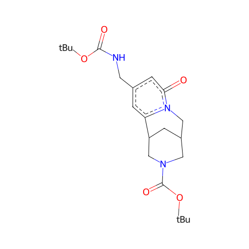 CC(C)(C)OC(=O)NCc1cc2n(c(=O)c1)CC1CC2CN(C(=O)OC(C)(C)C)C1